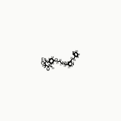 CCN1C(=O)C(C)(C)C(=O)N(C)c2cc(OCCCNCc3ccnc(CCc4cccnc4)c3)ccc21